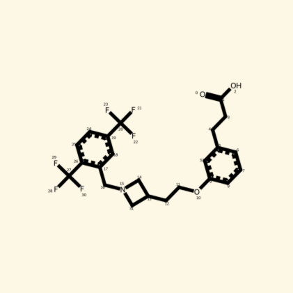 O=C(O)CCc1cccc(OCCC2CN(Cc3cc(C(F)(F)F)ccc3C(F)(F)F)C2)c1